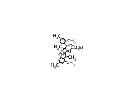 CCOC(=O)C1CC1(C(=O)C(C)c1c(C)cc(C)cc1C)C(=O)C(C)c1c(C)cc(C)cc1C